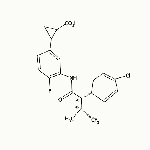 C[C@H]([C@H](C(=O)Nc1cc(C2CC2C(=O)O)ccc1F)C1C=CC(Cl)=CC1)C(F)(F)F